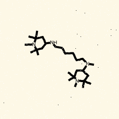 CN(CCCCCCNC1CC(C)(C)N(C)C(C)(C)C1)C1CC(C)(C)N(C)C(C)(C)C1